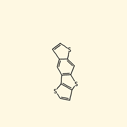 c1cc2cc3c(cc2s1)sc1ccsc13